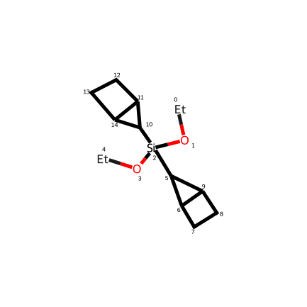 CCO[Si](OCC)(C1C2CCC21)C1C2CCC21